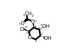 CC(=O)O[C@H]1[C@H](O)[C@H](O)CO[C@H]1Cl